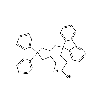 OCCCC1(CCCC2(CCCO)c3ccccc3-c3ccccc32)c2ccccc2-c2ccccc21